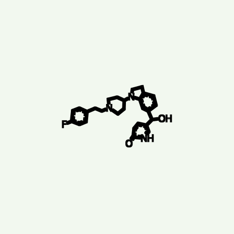 O=c1ccc(C(O)c2ccc3c(c2)N(C2CCN(CCc4ccc(F)cc4)CC2)CC3)c[nH]1